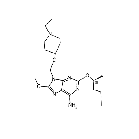 CCC[C@H](C)Oc1nc(N)c2nc(OC)n(CCC3CCN(CC)CC3)c2n1